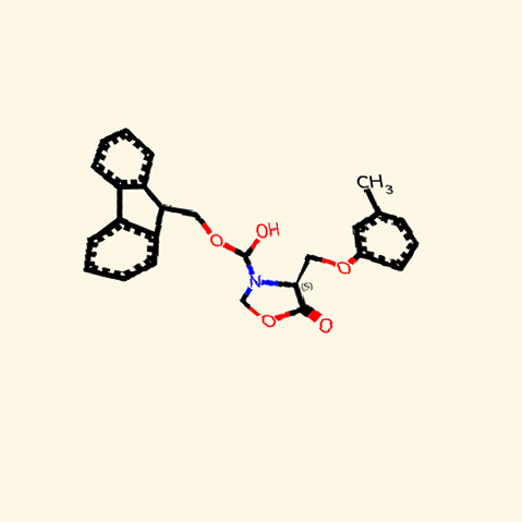 Cc1cccc(OC[C@H]2C(=O)OCN2C(O)OCC2c3ccccc3-c3ccccc32)c1